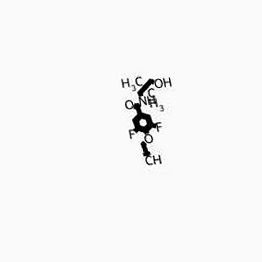 C#CCOc1c(F)cc(C(=O)NCC(C)(C)CO)cc1F